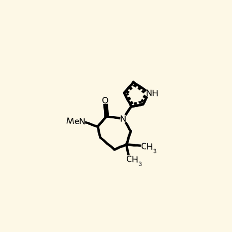 CNC1CCC(C)(C)CN(c2cc[nH]c2)C1=O